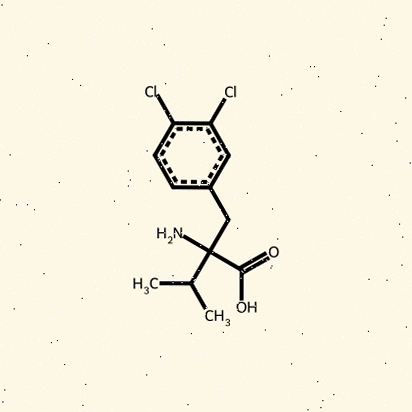 CC(C)C(N)(Cc1ccc(Cl)c(Cl)c1)C(=O)O